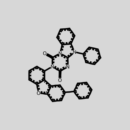 O=c1nc2n(-c3ccccc3)c3ccccc3n2c(=O)n1-c1cccc2oc3ccc(-c4ccccc4)cc3c12